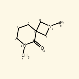 CC(C)N1CC2(CCCN(C)C2=O)C1